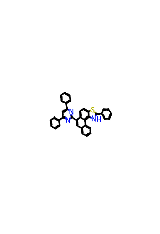 c1ccc(-c2cc(-c3ccccc3)nc(-c3cc4ccccc4c4c5c(ccc34)SC(c3ccccc3)N5)n2)cc1